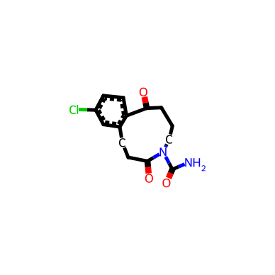 NC(=O)N1CCCC(=O)c2ccc(Cl)cc2CCC1=O